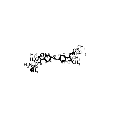 C[SiH](C)ON=CC(c1ccc(SSc2ccc(C(C=NO[SiH](C)C)C(C)(C)C)cc2)cc1)C(C)(C)C